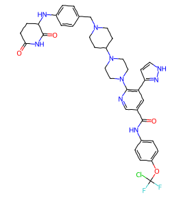 O=C1CCC(Nc2ccc(CN3CCC(N4CCN(c5ncc(C(=O)Nc6ccc(OC(F)(F)Cl)cc6)cc5-c5cc[nH]n5)CC4)CC3)cc2)C(=O)N1